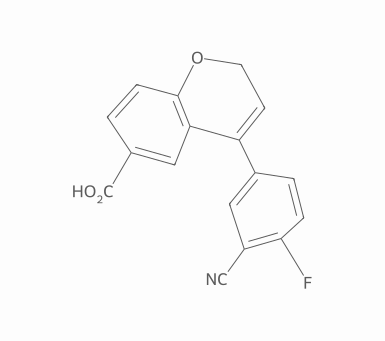 N#Cc1cc(C2=CCOc3ccc(C(=O)O)cc32)ccc1F